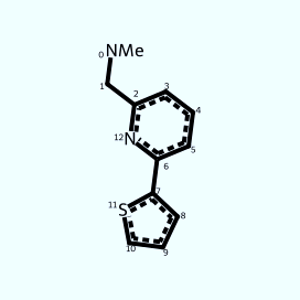 CNCc1cccc(-c2cccs2)n1